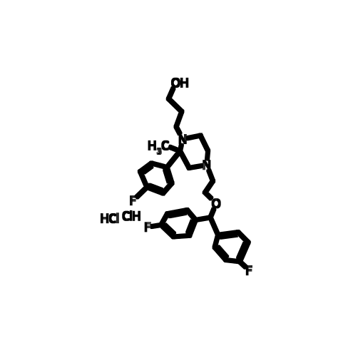 CC1(c2ccc(F)cc2)CN(CCOC(c2ccc(F)cc2)c2ccc(F)cc2)CCN1CCCO.Cl.Cl